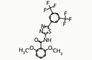 COc1cccc(OC)c1C(=O)Nc1nnc(-c2cc(C(F)(F)F)cc(C(F)(F)F)c2)s1